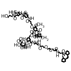 C=C1C[C@H]2C(O)N(C(=O)OCc3ccc(O[C@@H]4O[C@H](C(=O)O)[C@@H](O)[C@H](O)[C@H]4O)c(C(=O)NCCCNC(=O)CCOCCOCCC(=O)NCCC(=O)N4Cc5ccccc5C#Cc5ccccc54)c3)c3cc(OCCCC(=O)Nc4cc(C(=O)Nc5cc(C(=O)NCCCO)n(C)c5)n(C)c4)c(OC)cc3C(=O)N2C1